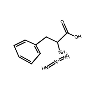 N=[N+]=N.NC(Cc1ccccc1)C(=O)O